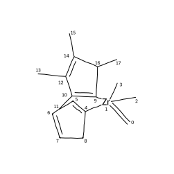 [CH2]=[Zr]([CH3])([CH3])([C]1=CC=CC1)[C]1=C(C)C(C)=C(C)C1C